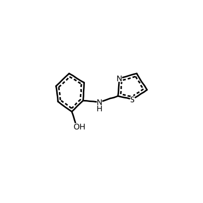 Oc1ccccc1Nc1nccs1